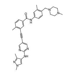 Cc1ccc(C(=O)Nc2ccc(CN3CCN(C)CC3)c(C)c2)cc1C#Cc1cnc(Nc2cn(C)nc2C)nc1